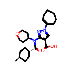 C[C@H]1CC[C@H](C(=O)N(c2nn(C3=CCCCCC3)cc2C(=O)O)C2CCOCC2)CC1